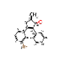 C=C1CC(c2cccc(Br)c2)=C(c2ccccc2)C1=O